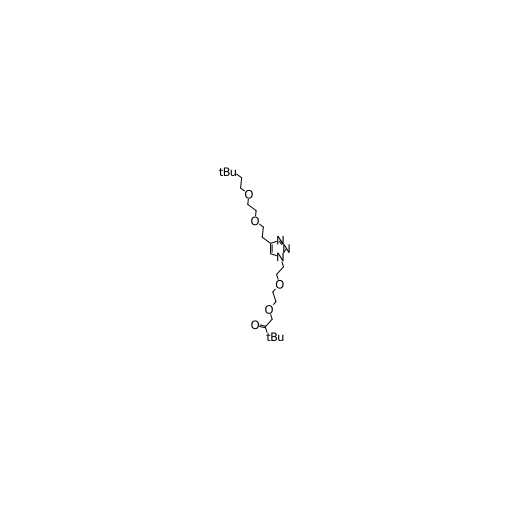 CC(C)(C)CCOCCOCCc1cn(CCOCCOCC(=O)C(C)(C)C)nn1